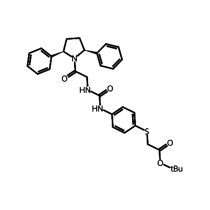 CC(C)(C)OC(=O)CSc1ccc(NC(=O)NCC(=O)N2[C@@H](c3ccccc3)CC[C@H]2c2ccccc2)cc1